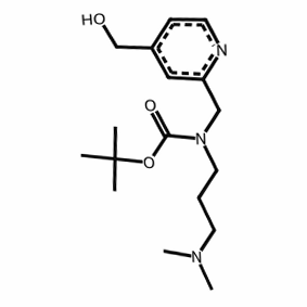 CN(C)CCCN(Cc1cc(CO)ccn1)C(=O)OC(C)(C)C